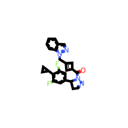 O=C(N1N=CCC1c1cc(F)c(C2CC2)c(F)c1)C12CC(Cn3ncc4ccccc43)(C1)C2